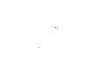 O=C(CCCN1CCN(c2noc3ccccc23)CC1)c1ccc(F)cc1